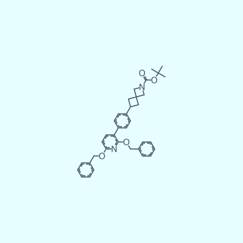 CC(C)(C)OC(=O)N1CC2(CC(c3ccc(-c4ccc(OCc5ccccc5)nc4OCc4ccccc4)cc3)C2)C1